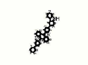 c1ccc(-c2ccc(-c3c4ccccc4c(-c4ccc(-c5ccc6[nH]c7ccccc7c6c5)cc4)c4ccccc34)cc2)cc1